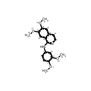 COc1ccc(Nc2nccc3cc(OC)c(OC)cc23)cc1OC